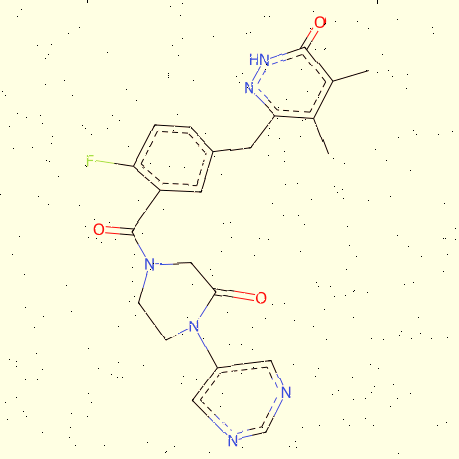 Cc1c(Cc2ccc(F)c(C(=O)N3CCN(c4cncnc4)C(=O)C3)c2)n[nH]c(=O)c1C